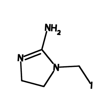 NC1=NCCN1CI